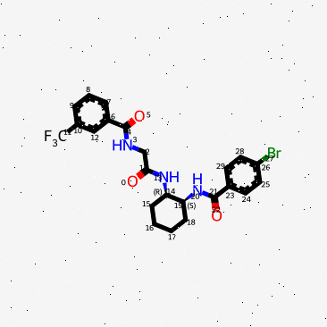 O=C(CNC(=O)c1cccc(C(F)(F)F)c1)N[C@@H]1CCCC[C@@H]1NC(=O)c1ccc(Br)cc1